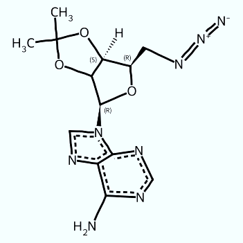 CC1(C)OC2[C@@H](O1)[C@@H](CN=[N+]=[N-])O[C@H]2n1cnc2c(N)ncnc21